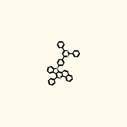 c1ccc(-c2cc(-c3ccc(-n4c5ccccc5c5c(-c6ccccc6)nc6c7ccccc7ccc6c54)cc3)nc(-c3ccccc3)n2)cc1